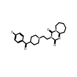 O=C(c1ccc(F)cc1)C1CCN(CCn2c(=O)nc3n(c2=O)CCCCC3)CC1